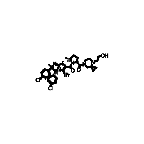 CC(C)C1=C(C(=O)N2[C@H](C)CC[C@H]2C(=O)N2CCN(CCO)C3(CC3)C2)SC2=N[C@@](C)(c3ccc(Cl)nc3)[C@@H](c3ccc(Cl)cc3)N21